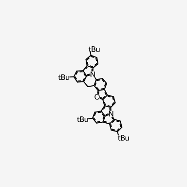 CC(C)(C)c1ccc2c(c1)c1cc(C(C)(C)C)cc3c1n2-c1ccc2c(oc4c2ccc2c4c4cc(C(C)(C)C)cc5c6cc(C(C)(C)C)ccc6n2c54)c1C3